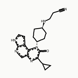 N#CCCN[C@H]1CC[C@H](n2c(=O)c(C3CC3)nc3cnc4[nH]ccc4c32)CC1